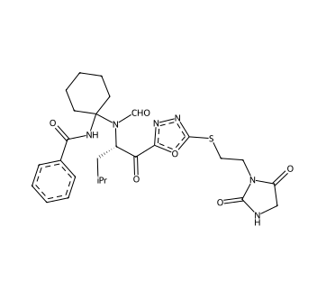 CC(C)C[C@@H](C(=O)c1nnc(SCCN2C(=O)CNC2=O)o1)N(C=O)C1(NC(=O)c2ccccc2)CCCCC1